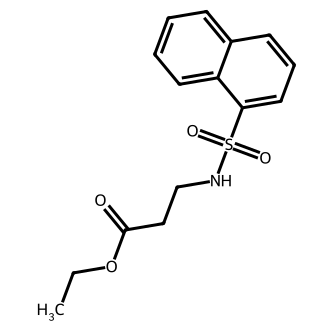 CCOC(=O)CCNS(=O)(=O)c1cccc2ccccc12